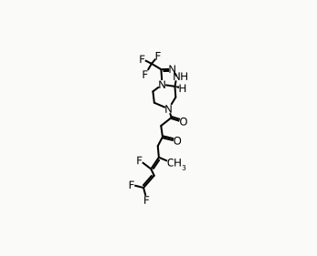 C/C(CC(=O)CC(=O)N1CCN2C(C(F)(F)F)=NN[C@@H]2C1)=C(/F)C=C(F)F